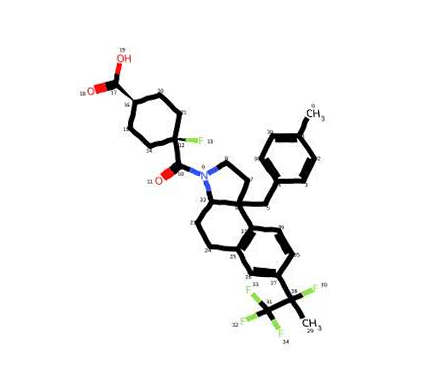 Cc1ccc(CC23CCN(C(=O)[C@]4(F)CC[C@@H](C(=O)O)CC4)C2CCc2cc(C(C)(F)C(F)(F)F)ccc23)cc1